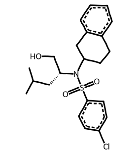 CC(C)C[C@H](CO)N(C1CCc2ccccc2C1)S(=O)(=O)c1ccc(Cl)cc1